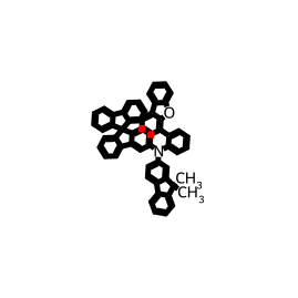 CC1(C)c2ccccc2-c2ccc(N(c3ccc4c(c3)-c3ccccc3C43c4ccccc4-c4ccccc43)c3ccccc3-c3cccc4c3oc3ccccc34)cc21